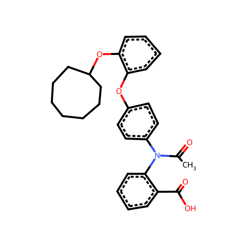 CC(=O)N(c1ccc(Oc2ccccc2OC2CCCCCCC2)cc1)c1ccccc1C(=O)O